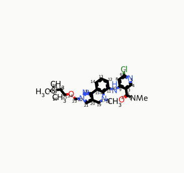 CNC(=O)c1cnc(Cl)cc1Nc1cccc2c1N(C)Cc1cn(COCC[Si](C)(C)C)nc1-2